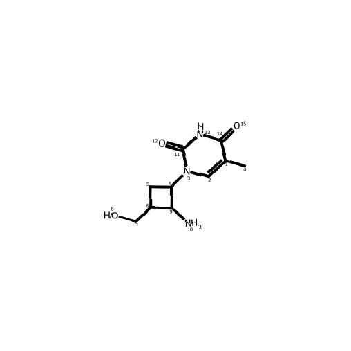 Cc1cn(C2CC(CO)C2N)c(=O)[nH]c1=O